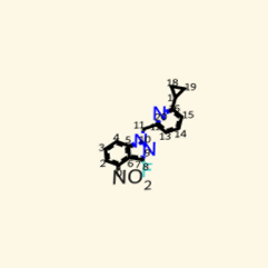 O=[N+]([O-])c1cccc2c1c(F)nn2Cc1cccc(C2CC2)n1